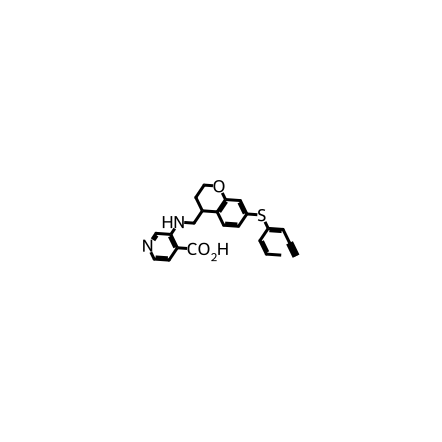 C#C/C=C(\C=C/C)Sc1ccc2c(c1)OCCC2CNc1cnccc1C(=O)O